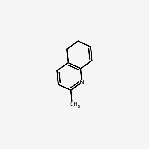 Cc1ccc2c(n1)C=CCC2